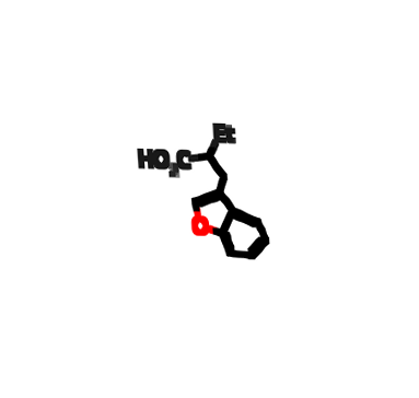 CCC(Cc1coc2ccccc12)C(=O)O